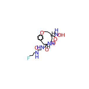 O=C(CNC(=O)[C@@H]1Cc2ccc(cc2)OCCC[C@H](C(=O)NO)CC(=O)N1)NCCCF